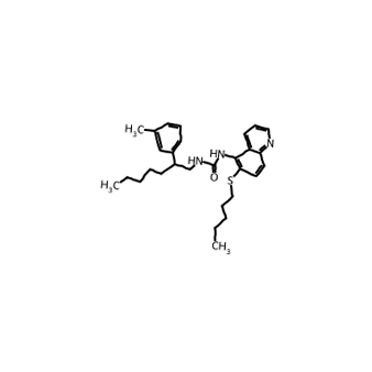 CCCCCSc1ccc2ncccc2c1NC(=O)NCC(CCCCC)c1cccc(C)c1